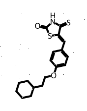 O=C1NC(=S)/C(=C/c2ccc(OCCC3CCCCC3)cc2)S1